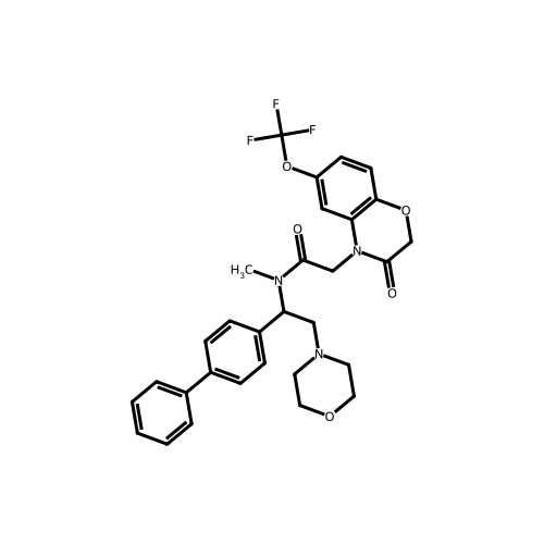 CN(C(=O)CN1C(=O)COc2ccc(OC(F)(F)F)cc21)C(CN1CCOCC1)c1ccc(-c2ccccc2)cc1